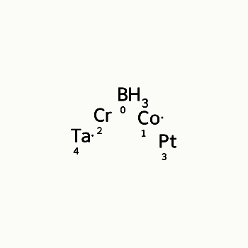 B.[Co].[Cr].[Pt].[Ta]